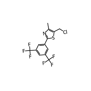 Cc1nc(-c2cc(C(F)(F)F)cc(C(F)(F)F)c2)sc1CCl